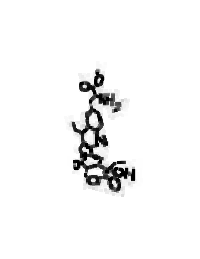 CCc1c2c(nc3ccc(CC(N)C(=O)OC)cc13)-c1cc3c(c(=O)n1C2)COC(=O)[C@]3(O)CC